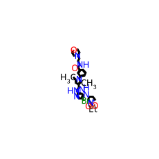 CCS(=O)(=O)N1CCC(Nc2c(Br)cnc3[nH]c(-c4cc(C)n(-c5cccc(C(=O)NCCN6CCOCC6)c5)c4C)nc23)C1